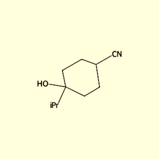 CC(C)C1(O)CCC(C#N)CC1